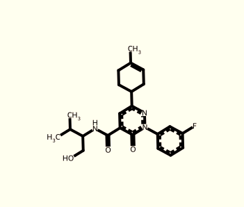 CC1=CCC(c2cc(C(=O)NC(CO)C(C)C)c(=O)n(-c3cccc(F)c3)n2)CC1